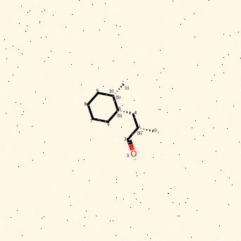 C[C@H](C=O)C[C@@H]1CCCC[C@@H]1C